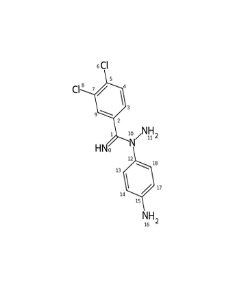 N=C(c1ccc(Cl)c(Cl)c1)N(N)c1ccc(N)cc1